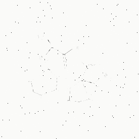 C[C@H](NC1CCCCC1)C(=O)O.NC1CC2CCC1(C(=O)O)C2